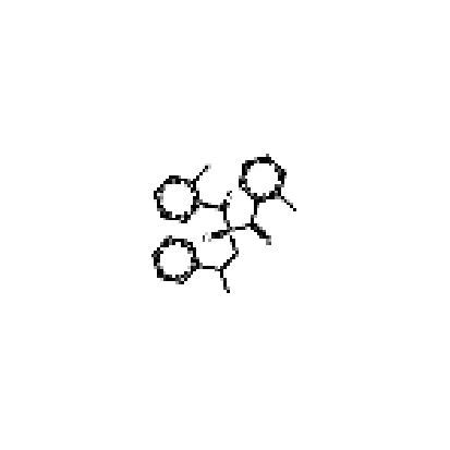 Cc1ccccc1C(=S)P(=O)(CC(C)c1ccccc1)C(=S)c1ccccc1C